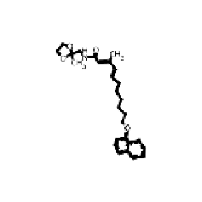 CC(C=CCCCCCCOc1cccc2ccccc12)=CC(=O)NCC1(C)OCCO1